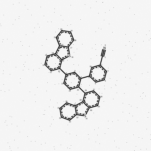 N#Cc1cccc(-c2cc(-c3cccc4c3sc3ccccc34)ccc2-c2cccc3sc4ccccc4c23)c1